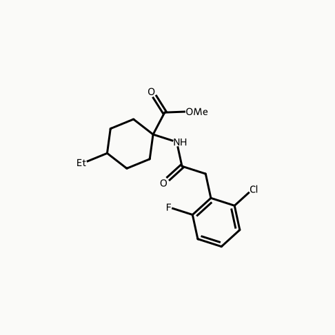 CCC1CCC(NC(=O)Cc2c(F)cccc2Cl)(C(=O)OC)CC1